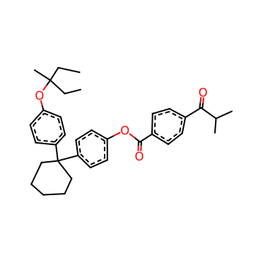 CCC(C)(CC)Oc1ccc(C2(c3ccc(OC(=O)c4ccc(C(=O)C(C)C)cc4)cc3)CCCCC2)cc1